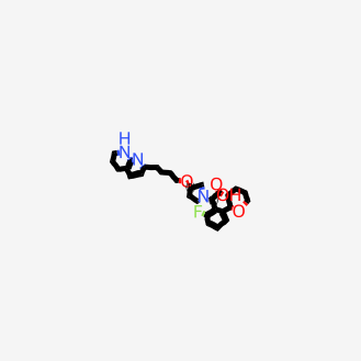 O=C(O)[C@H](c1c(F)cccc1C1CCCCO1)N1CC[C@@H](OCCCCc2ccc3c(n2)NCCC3)C1